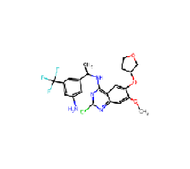 COc1cc2nc(Cl)nc(N[C@H](C)c3cc(N)cc(C(F)(F)F)c3)c2cc1O[C@H]1CCOC1